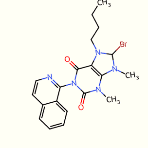 CCCCN1c2c(n(C)c(=O)n(-c3nccc4ccccc34)c2=O)N(C)C1Br